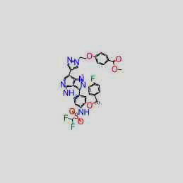 COC(=O)c1ccc(OCCn2cc(-c3cnc(N)c4c(-c5ccc(NS(=O)(=O)C(F)F)c(O[C@@H](C)c6ccc(F)cc6)c5)nn(C)c34)cn2)cc1